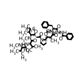 CC[C@H](C)C([C@@H](CC(=O)N1CCC[C@H]1[C@H](OC)[C@@H](C)C(=O)N[C@@H](Cc1ccccc1)C(=O)NNC(=O)c1ccccc1)OC)N(C)C(=O)[C@@H](NC(=O)[C@@H](NC)C(C)C)C(C)C